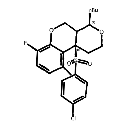 CCCC[C@H]1OCC[C@]2(S(=O)(=O)c3ccc(Cl)cc3)c3c(F)ccc(F)c3OCC12